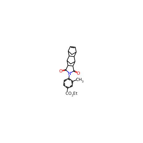 CCOC(=O)c1ccc(N2C(=O)C3C4CC(C3C2=O)C2C3C=CC(C3)C42)c(C)c1